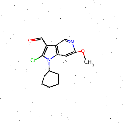 COc1cc2c(cn1)c(C=O)c(Cl)n2C1CCCCC1